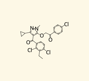 CCc1c(Cl)ccc(C(=O)c2c(C3CC3)nn(C)c2OCC(=O)c2ccc(Cl)cc2)c1Cl